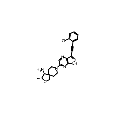 C[C@@H]1OCC2(CCN(c3cnc4c(C#Cc5ccccc5Cl)n[nH]c4n3)CC2)[C@@H]1N